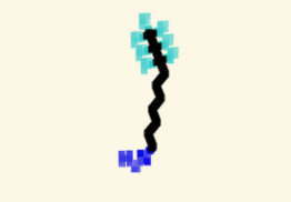 NCCCCCCCC(F)(F)C(F)(F)C(F)(F)F